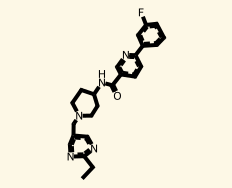 CCc1ncc(CN2CCC(NC(=O)c3ccc(-c4cccc(F)c4)nc3)CC2)cn1